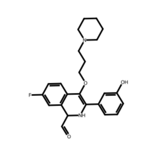 O=CC1NC(c2cccc(O)c2)=C(OCCCN2CCCCC2)c2ccc(F)cc21